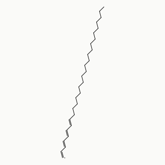 [CH]=CC=CC=CC=CCCCCCCCCCCCCCCCCCCCCC